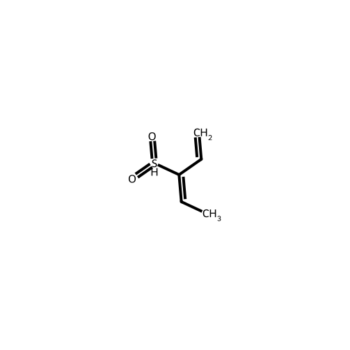 C=C/C(=C\C)[SH](=O)=O